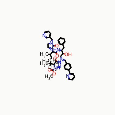 CCC(C)C(C(=O)NC(Cc1ccccc1)C(O)CN(Cc1ccc(-c2ccccn2)cc1)NC(=O)C(NC(=O)OC)C(C)(C)C)N1CCN(Cc2cccnc2)C1=O